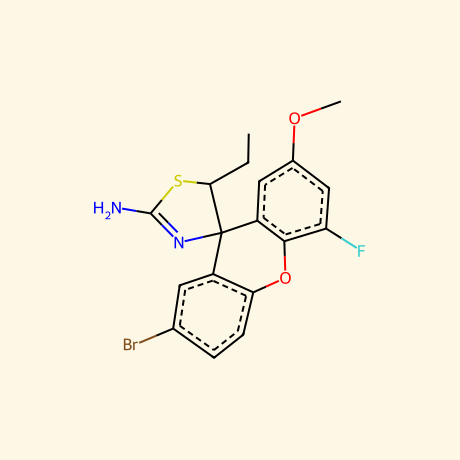 CCC1SC(N)=NC12c1cc(Br)ccc1Oc1c(F)cc(OC)cc12